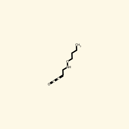 CCCCONCC=C=C=O